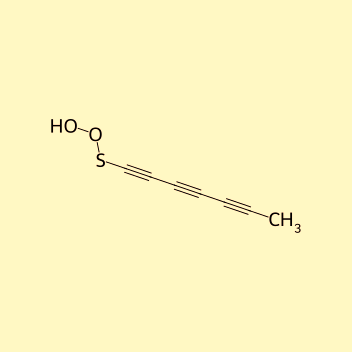 CC#CC#CC#CSOO